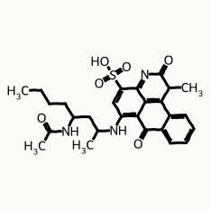 CCCCC(CC(C)Nc1cc(S(=O)(=O)O)c2c3c1C(=O)c1ccccc1C=3C(C)C(=O)N=2)NC(C)=O